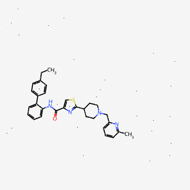 CCc1ccc(-c2ccccc2NC(=O)c2csc(C3CCN(Cc4cccc(C)n4)CC3)n2)cc1